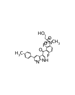 Cc1ccc(-c2cnc3[nH]cc(C(=O)c4c(F)ccc(N(C)S(=O)(=O)CCO)c4F)c3c2)cc1